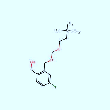 C[Si](C)(C)CCOCOCc1cc(F)ccc1CO